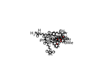 CC[C@H](C)[C@@H]([C@@H](CC(=O)N1CCC[C@H]1[C@H](OC)[C@@H](C)C(=O)N[C@@H](Cc1ccccc1)C(=O)OC)OC)N(C)C(=O)[C@@H](NC(=O)[C@H](C(C)C)N(C)CCc1ccc(NC(=O)[C@H](CCCCNC(N)=O)NC(=O)[C@@H](NC(=O)CCCCCN2C(=O)C=CC2=O)C(C)C)cc1)C(C)C